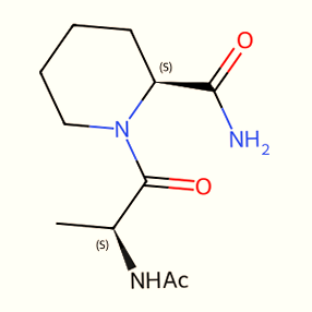 CC(=O)N[C@@H](C)C(=O)N1CCCC[C@H]1C(N)=O